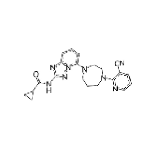 N#Cc1cccnc1N1CCCN(c2cccc3nc(NC(=O)C4CC4)nn23)CC1